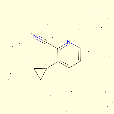 N#Cc1ncccc1C1CC1